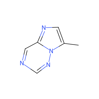 Cc1cnc2cncnn12